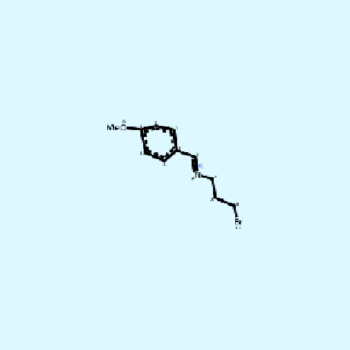 COc1ccc(/C=N/CCCBr)cc1